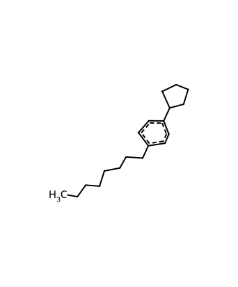 CCCCCCCCc1ccc(C2CCCC2)cc1